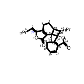 CCC/C=C1\OC(=O)C2=C1CCC1[C@@H]2[C@@]2(OC(=O)C3=C2CCC=C3)[C@H]1CCC